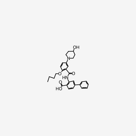 CCCCOc1ccc(N2CCC(O)CC2)cc1C(=O)Nc1cc(-c2ccccc2)ccc1C(=O)O